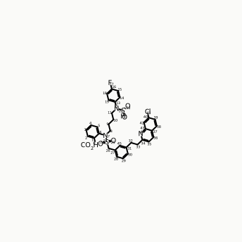 O=C(O)c1ccccc1N(CCCCN(c1ccc(F)cc1)[SH](=O)=O)S(=O)(=O)Cc1cccc(CCc2ccc3ccc(Cl)cc3n2)c1